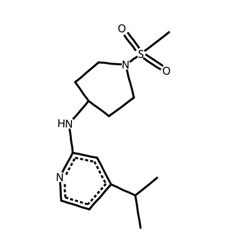 CC(C)c1ccnc(NC2CCN(S(C)(=O)=O)CC2)c1